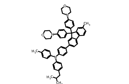 Cc1ccc(N(c2ccc(CC(C)C)cc2)c2ccc(-c3ccc4c(c3)C(c3ccc(N5CCOCC5)cc3)(c3ccc(N5CCOCC5)cc3)c3cc(C)ccc3-4)cc2)cc1